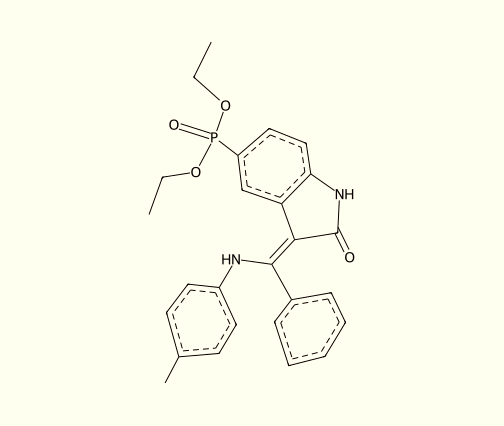 CCOP(=O)(OCC)c1ccc2c(c1)C(=C(Nc1ccc(C)cc1)c1ccccc1)C(=O)N2